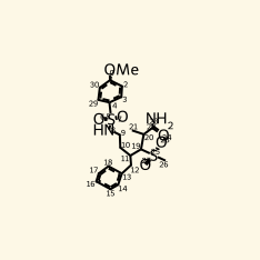 COc1ccc(S(=O)(=O)NCCC(Cc2ccccc2)C(C(C)C(N)=O)S(C)(=O)=O)cc1